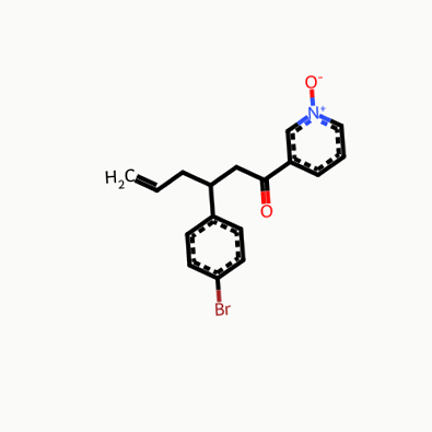 C=CCC(CC(=O)c1ccc[n+]([O-])c1)c1ccc(Br)cc1